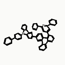 c1ccc(-c2ccc(-n3c4ccccc4c4cc(-c5ccc6c(c5)c5ccccc5c5cccc(-c7cc(-c8ccccc8)nc(-c8ccccc8)c7)c56)ccc43)cc2)cc1